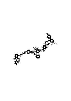 CC1(C)CCC(c2ccc(Cl)cc2)=C(CN2CCN(c3ccc(C(=O)NSc4ccc(N[C@H](CCN5CCN(CCOCCNc6cccc7c6C(=O)N(C6CCC(=O)NC6=O)C7=O)CC5)CSc5ccccc5)c(S(=O)(=O)C(F)(F)F)c4)cc3)CC2)C1